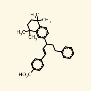 CC1(C)CCC(C)(C)c2cc(C(/C=C/c3ccc(C(=O)O)cc3)CCc3ccccc3)ccc21